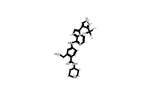 CCc1cc(Nc2nccn3c(-c4c[nH]nc4C(F)(F)F)cnc23)ccc1C(=O)NC1CCNCC1